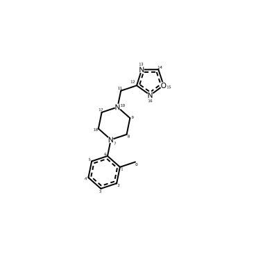 Cc1ccccc1N1CCN(Cc2ncon2)CC1